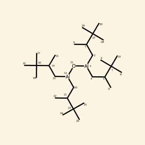 CC([CH2][Al]([CH2]C(C)C(C)(C)C)[O][Al]([CH2]C(C)C(C)(C)C)[CH2]C(C)C(C)(C)C)C(C)(C)C